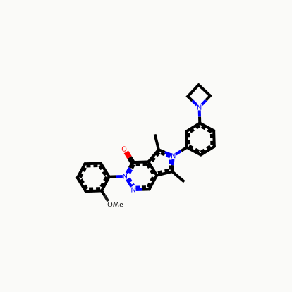 COc1ccccc1-n1ncc2c(C)n(-c3cccc(N4CCC4)c3)c(C)c2c1=O